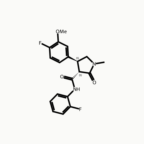 COc1cc([C@H]2CN(C)C(=O)[C@@H]2C(=O)Nc2ccccc2F)ccc1F